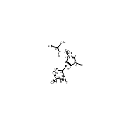 CCCC[n+]1ccn(C)c1.FC(F)F.FC(F)F.N[SH](=O)=O